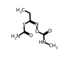 CCC(=NOC(=O)NC)SC(N)=O